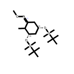 CO/N=C1/C[C@H](O[Si](C)(C)C(C)(C)C)C[C@H](O[Si](C)(C)C(C)(C)C)C1C